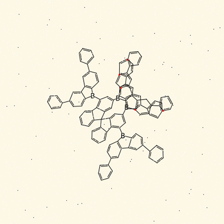 C1=CC(c2ccccc2)CC2=C1B(c1cc(B3c4ccc(-c5ccccc5)cc4-c4cc(-c5ccccc5)ccc43)c3c(c1)C1(c4ccccc4-3)c3ccccc3-c3c(B4c5ccc(-c6ccccc6)cc5-c5cc(-c6ccccc6)ccc54)cc(B4c5ccc(-c6ccccc6)cc5-c5cc(-c6ccccc6)ccc54)cc31)c1ccc(-c3ccccc3)cc12